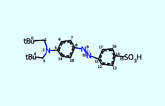 CC(C)(C)CN(CC(C)(C)C)c1ccc(/N=N/c2ccc(S(=O)(=O)O)cc2)cc1